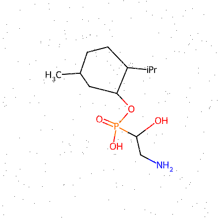 CC1CCC(C(C)C)C(OP(=O)(O)C(O)CN)C1